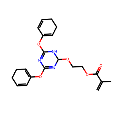 C=C(C)C(=O)OCCOC1N=C(OC2=CCCC=C2)N=C(OC2=CCCC=C2)N1